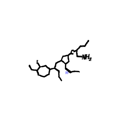 CC/C=C\C1CC(CC(CN)CCC)CC1CC(CCC)C1CCCC(CC)C(I)C1